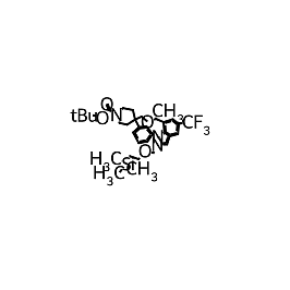 CC(OCC1(c2ccccc2)CCN(C(=O)OC(C)(C)C)CC1)c1cc(C(F)(F)F)cc2cn(COCC[Si](C)(C)C)nc12